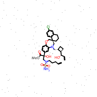 C=CCCCN(C[C@](O)(C(=O)OC)c1ccc2c(c1)N(C[C@@H]1CC[C@H]1[C@@H](O)C=C)C[C@@]1(CCCc3cc(Cl)ccc31)CO2)S(N)(=O)=O